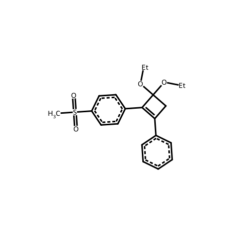 CCOC1(OCC)CC(c2ccccc2)=C1c1ccc(S(C)(=O)=O)cc1